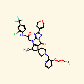 COCOc1cccnc1CN1CCC2(CC1)CC(C)c1c2c(=O)n2nc(C3=CCOCC3)nc2n1CC(=O)Nc1ccc(C(F)(F)F)cc1Cl